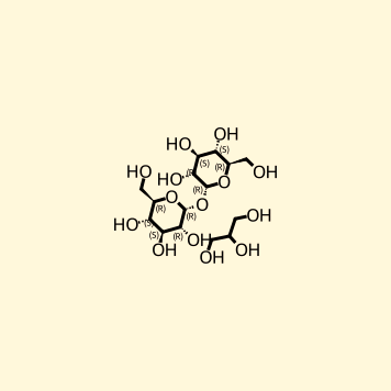 OCC(O)CO.OC[C@H]1O[C@H](O[C@H]2O[C@H](CO)[C@@H](O)[C@H](O)[C@H]2O)[C@H](O)[C@@H](O)[C@@H]1O